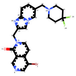 O=c1c2cncc(Br)c2ccn1Cc1cn2cc(CN3CCC(F)(F)CC3)ccc2n1